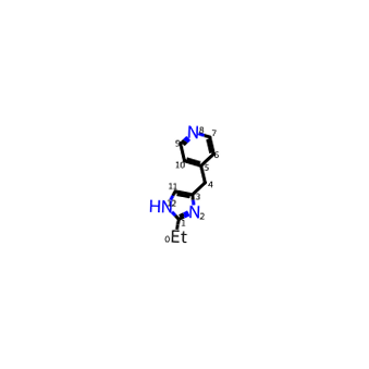 CCc1nc(Cc2ccncc2)c[nH]1